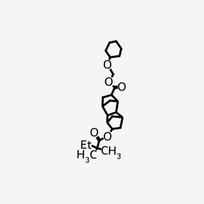 CCC(C)(C)C(=O)OC1CC2CC1C1C3CC(C(=O)OCOC4CCCCC4)C(C3)C21